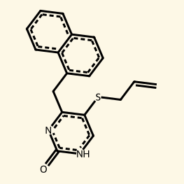 C=CCSc1c[nH]c(=O)nc1Cc1cccc2ccccc12